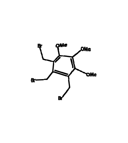 COc1c(CBr)c(CBr)c(CBr)c(OC)c1OC